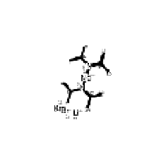 CC(C)[N]([Nd+][N](C(C)C)C(C)C)C(C)C.[Br-].[Br-].[Li+]